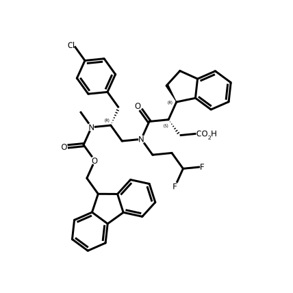 CN(C(=O)OCC1c2ccccc2-c2ccccc21)[C@H](Cc1ccc(Cl)cc1)CN(CCC(F)F)C(=O)[C@@H](CC(=O)O)[C@H]1CCc2ccccc21